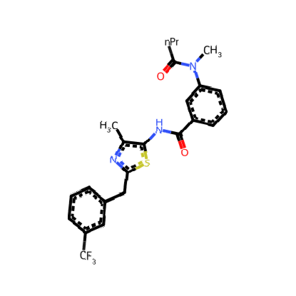 CCCC(=O)N(C)c1cccc(C(=O)Nc2sc(Cc3cccc(C(F)(F)F)c3)nc2C)c1